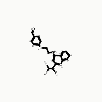 O=Cc1ccc(OCCNc2cc(C(F)C(F)F)nc3ccccc23)cc1